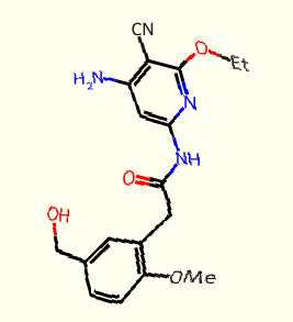 CCOc1nc(NC(=O)Cc2cc(CO)ccc2OC)cc(N)c1C#N